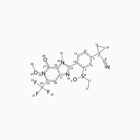 CC[S+]([O-])c1cc(C2(C#N)CC2)ccc1-c1nc2cc(C(F)(F)F)n(OC)c(=O)c2n1C